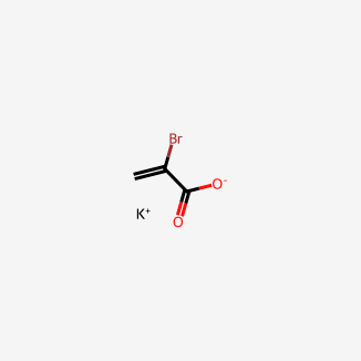 C=C(Br)C(=O)[O-].[K+]